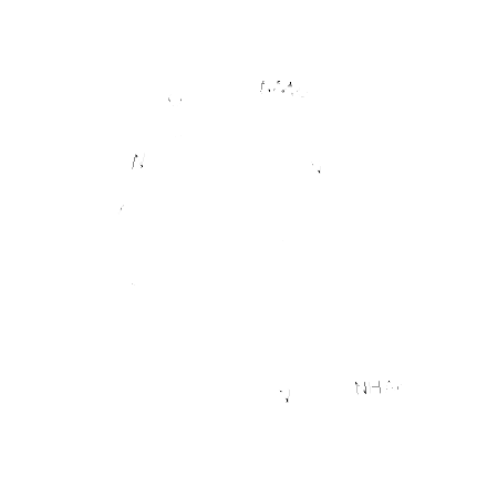 CNc1ncc(-c2ccnc(NC(C)=O)c2)cc1C(=O)N(C)C12CC(C1)C2